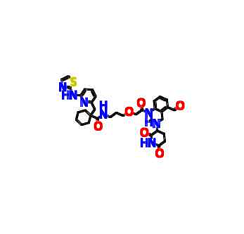 CN(Cc1c(C=O)cccc1NC(=O)COCCCNC(=O)C1(Cc2cccc(Nc3nccs3)n2)CCCCC1)C1CCC(=O)NC1=O